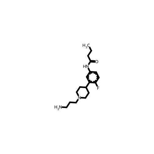 CCCC(=O)Nc1ccc(F)c(C2CCN(CCCN)CC2)c1